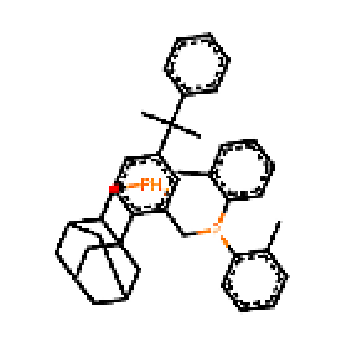 Cc1ccccc1P(Cc1cc(C(C)(C)c2ccccc2)ccc1C12CC3CC(CC(C3)C1CP)C2)c1ccccc1C